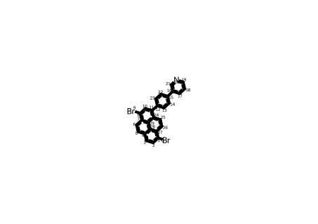 Brc1ccc2ccc3c(Br)cc(-c4ccc(-c5cccnc5)cc4)c4ccc1c2c34